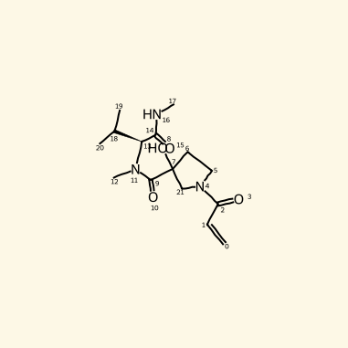 C=CC(=O)N1CCC(O)(C(=O)N(C)[C@H](C(=O)NC)C(C)C)C1